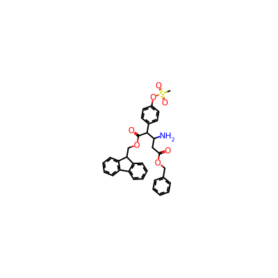 CS(=O)(=O)Oc1ccc(C(C(=O)OCC2c3ccccc3-c3ccccc32)C(N)CC(=O)OCc2ccccc2)cc1